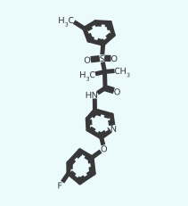 Cc1cccc(S(=O)(=O)C(C)(C)C(=O)Nc2ccc(Oc3ccc(F)cc3)nc2)c1